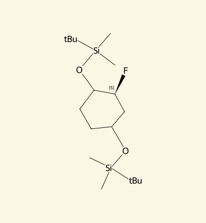 CC(C)(C)[Si](C)(C)OC1CCC(O[Si](C)(C)C(C)(C)C)[C@@H](F)C1